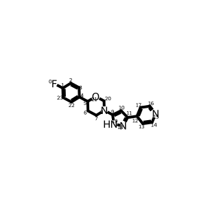 Fc1ccc(C2CCN(c3cc(-c4ccncc4)n[nH]3)CO2)cc1